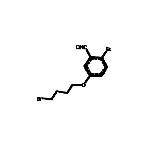 CCc1ccc(OCCCCBr)cc1C=O